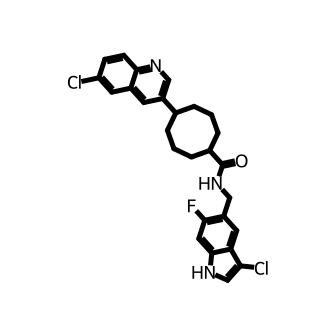 O=C(NCc1cc2c(Cl)c[nH]c2cc1F)C1CCCC(c2cnc3ccc(Cl)cc3c2)CCC1